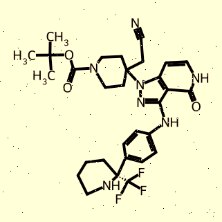 CC(C)(C)OC(=O)N1CCC(CC#N)(n2nc(Nc3ccc([C@]4(C(F)(F)F)CCCCN4)cc3)c3c(=O)[nH]ccc32)CC1